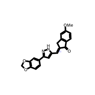 COc1ccc2c(c1)C/C(=C\c1cc(-c3ccc4c(c3)OCO4)n[nH]1)C2=O